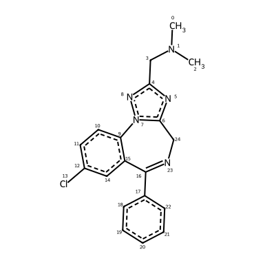 CN(C)Cc1nc2n(n1)-c1ccc(Cl)cc1C(c1ccccc1)=NC2